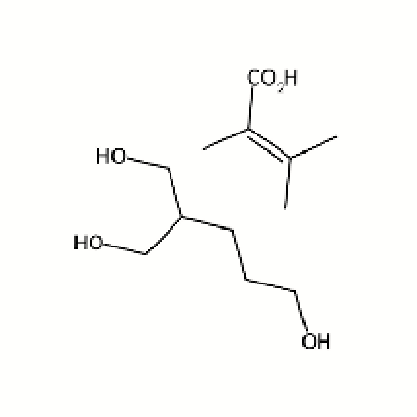 CC(C)=C(C)C(=O)O.OCCCC(CO)CO